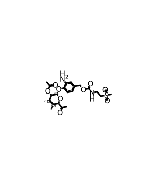 CC(=O)OC1[C@H](Oc2ccc(COC(=O)NCCS(C)(=O)=O)cc2N)OC(C(C)=O)[C@@H](C)[C@@H]1C